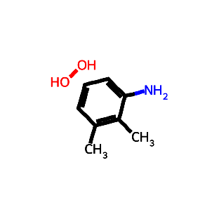 Cc1cccc(N)c1C.OO